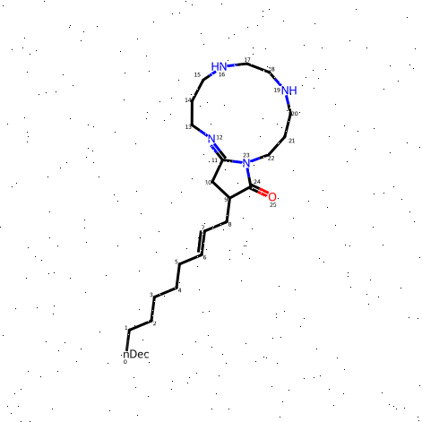 CCCCCCCCCCCCCCCC=CCC1C/C2=N\CCCNCCNCCCN2C1=O